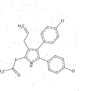 C=CCc1c(SC(C)=O)[nH]c(-c2ccc(Cl)cc2)c1-c1ccc(Cl)cc1